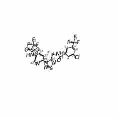 C[C@H](NC(=O)c1cc(Cl)cc(C(F)(F)F)c1)c1ncnn1-c1ccc(NS(=O)(=O)C(F)(F)F)cn1